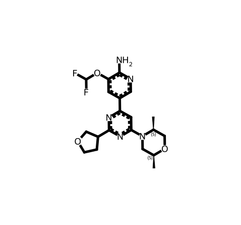 C[C@H]1CN(c2cc(-c3cnc(N)c(OC(F)F)c3)nc(C3CCOC3)n2)[C@@H](C)CO1